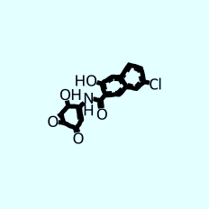 O=C(NC1=CC(=O)C2OC2C1O)c1cc2cc(Cl)ccc2cc1O